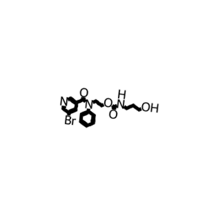 O=C(NCCCO)OCCN(C(=O)c1cncc(Br)c1)c1ccccc1